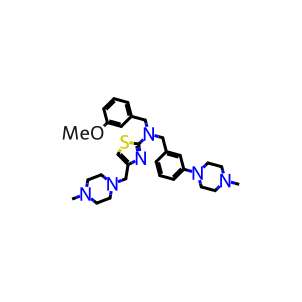 COc1cccc(CN(Cc2cccc(N3CCN(C)CC3)c2)c2nc(CN3CCN(C)CC3)cs2)c1